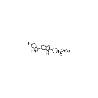 CC(C)(C)OC(=O)N1CCC(c2nc3ccc(-c4c[nH]c5cc(F)ccc45)cc3[nH]2)CC1